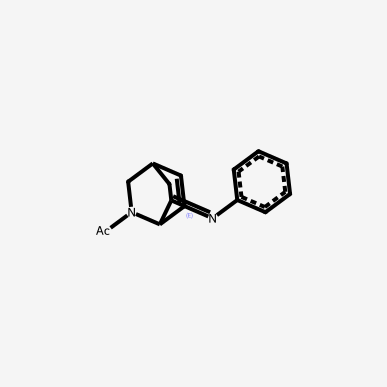 CC(=O)N1CC2C=CC1/C(=N/c1ccccc1)C2